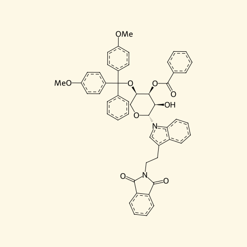 COc1ccc(C(O[C@@H]2CO[C@@H](n3cc(CCN4C(=O)c5ccccc5C4=O)c4ccccc43)[C@H](O)[C@@H]2OC(=O)c2ccccc2)(c2ccccc2)c2ccc(OC)cc2)cc1